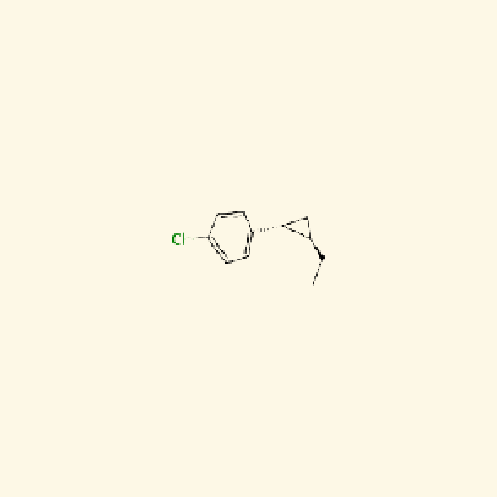 CC[C@@H]1C[C@H]1c1ccc(Cl)cc1